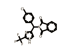 O=C1c2ccccc2C(=O)N1C(c1ccc(Cl)cc1)c1c[nH]c(C(F)(F)F)n1